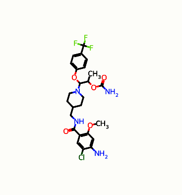 COc1cc(N)c(Cl)cc1C(=O)NCC1CCN(C(Oc2ccc(C(F)(F)F)cc2)C(C)OC(N)=O)CC1